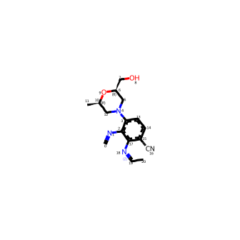 C=Nc1c(N2C[C@H](CO)O[C@H](C)C2)ccc(C#N)c1/N=C\C